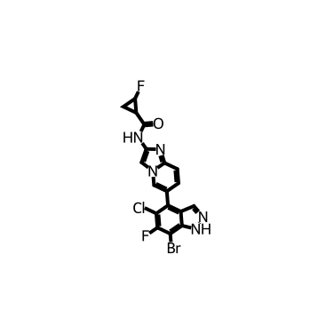 O=C(Nc1cn2cc(-c3c(Cl)c(F)c(Br)c4[nH]ncc34)ccc2n1)C1CC1F